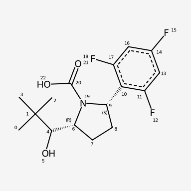 CC(C)(C)C(O)[C@H]1CC[C@@H](c2c(F)cc(F)cc2F)N1C(=O)O